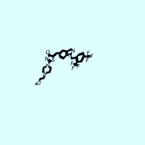 COCCN1CCN(C2=NC(=O)/C(=C/c3ccc4c(cnn4Cc4ccc(C(F)(F)F)cc4C(F)(F)F)c3)S2)CC1